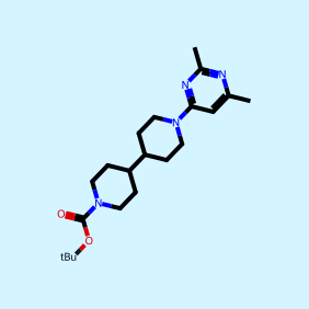 Cc1cc(N2CCC(C3CCN(C(=O)OC(C)(C)C)CC3)CC2)nc(C)n1